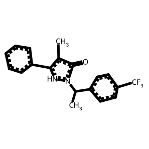 Cc1c(-c2ccccc2)[nH]n(C(C)c2ccc(C(F)(F)F)cc2)c1=O